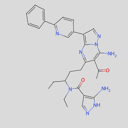 CCC(CCc1nc2c(-c3ccc(-c4ccccc4)nc3)cnn2c(N)c1C(C)=O)N(CC)C(=O)c1cn[nH]c1N